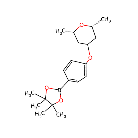 C[C@@H]1CC(Oc2ccc(B3OC(C)(C)C(C)(C)O3)cc2)C[C@H](C)O1